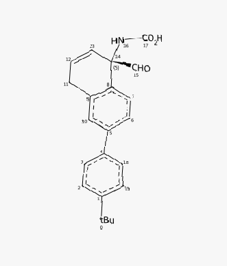 CC(C)(C)c1ccc(-c2ccc3c(c2)CC=C[C@]3(C=O)NC(=O)O)cc1